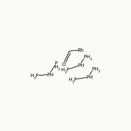 O=[CH][Rh].PPP.PPP.PPP